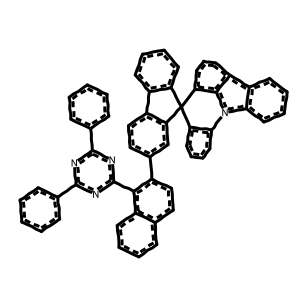 c1ccc(-c2nc(-c3ccccc3)nc(-c3c(-c4ccc5c(c4)C4(c6ccccc6-5)c5ccccc5-n5c6ccccc6c6cccc4c65)ccc4ccccc34)n2)cc1